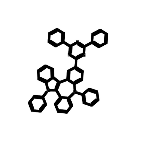 c1ccc(-c2nc(-c3ccccc3)nc(-c3ccc4c(c3)-c3c(n(-c5ccccc5)c5ccccc35)-c3ccccc3N4c3ccccc3)n2)cc1